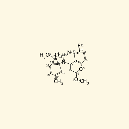 COC(=O)CC1c2cccc(F)c2N=C(Cl)N1c1cc(C)ccc1OC